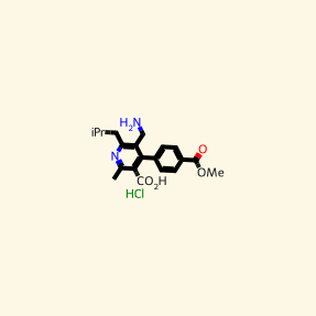 COC(=O)c1ccc(-c2c(CN)c(CC(C)C)nc(C)c2C(=O)O)cc1.Cl